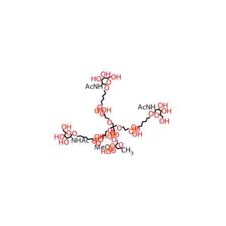 COP(=O)(O)OC1C[C@H](C)O[C@@H]1COP(=O)(O)OCC(COCCCOP(=O)(O)OCCCCCCO[C@@H]1OC(CO)[C@H](O)C(O)[C@@H]1NC(C)=O)(COCCCOP(=O)(O)OCCCCCCO[C@@H]1OC(CO)[C@H](O)C(O)[C@@H]1NC(C)=O)COCCCOP(=O)(O)OCCCCCCO[C@@H]1OC(CO)[C@H](O)C(O)[C@@H]1NC(C)=O